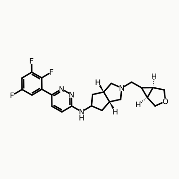 Fc1cc(F)c(F)c(-c2ccc(NC3C[C@@H]4CN(CC5[C@H]6COC[C@@H]56)C[C@@H]4C3)nn2)c1